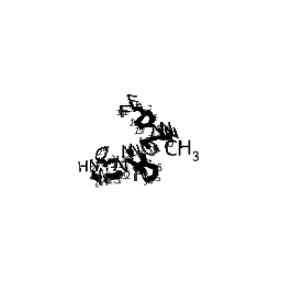 Cc1nnn(-c2ccc(C(F)F)cc2)c1COc1nnc(N2CCN3CCNC(=O)C3C2)c2ncccc12